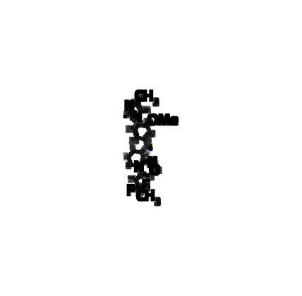 COc1cc(/C=C2\CCCN3C2=NOCC3CC(C)(F)F)ccc1-n1cnc(C)c1